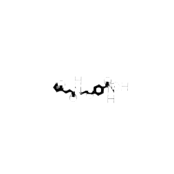 O=C(C=Cc1ccco1)NCCOc1ccc(C(=O)NO)cc1